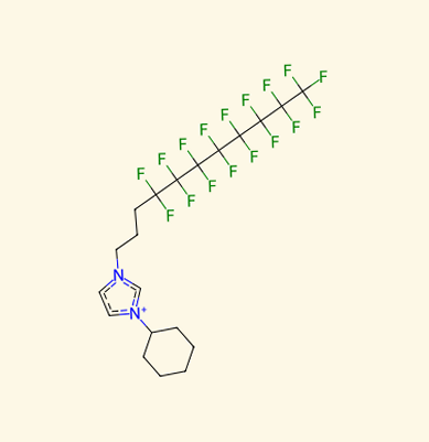 FC(F)(F)C(F)(F)C(F)(F)C(F)(F)C(F)(F)C(F)(F)C(F)(F)C(F)(F)CCCn1cc[n+](C2CCCCC2)c1